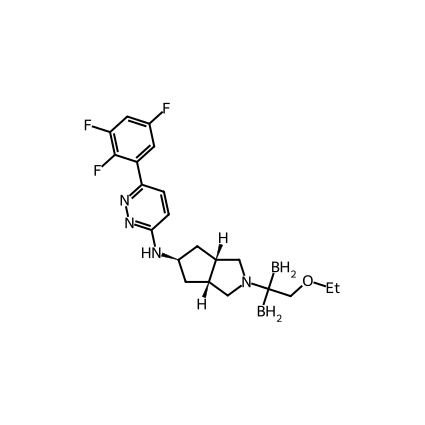 BC(B)(COCC)N1C[C@H]2C[C@H](Nc3ccc(-c4cc(F)cc(F)c4F)nn3)C[C@H]2C1